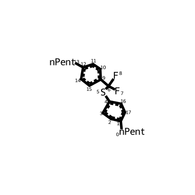 CCCCCc1ccc(SC(F)(F)c2ccc(CCCCC)cc2)cc1